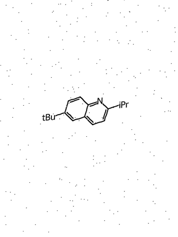 CC(C)c1ccc2cc(C(C)(C)C)ccc2n1